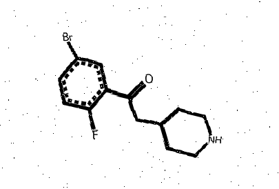 O=C(CC1CCNCC1)c1cc(Br)ccc1F